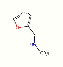 O=C(O)NCc1ccco1